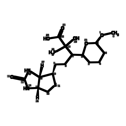 COC1CCCC(C(CC[C@@H]2SC[C@@H]3NC(=O)N[C@@H]32)C(O)(P)C(=O)O)O1